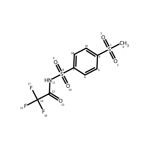 CS(=O)(=O)c1ccc(S(=O)(=O)NC(=O)C(F)(F)F)cc1